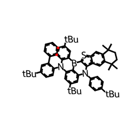 CC(C)(C)c1ccc(N2c3cc(C(C)(C)C)cc4c3B(c3cc(C(C)(C)C)ccc3N4c3ccc(C(C)(C)C)cc3-c3ccccc3)c3sc4cc5c(cc4c32)C(C)(C)CCC5(C)C)cc1